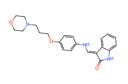 O=C1Nc2ccccc2/C1=C\Nc1ccc(OCCCN2CCOCC2)cc1